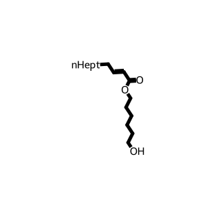 CCCCCCCCC=CC(=O)OCCCCCCO